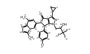 Cc1cc(N2C(=O)c3c(C4CC4)nn(CC(O)C(F)(F)F)c3[C@H]2c2ccc(Cl)cc2)cn2c(C)nnc12